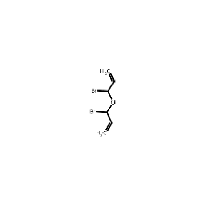 C=CC(Br)OC(Br)C=C